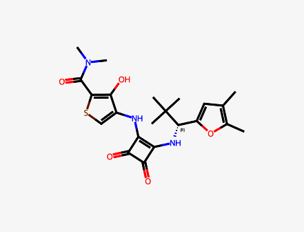 Cc1cc([C@H](Nc2c(Nc3csc(C(=O)N(C)C)c3O)c(=O)c2=O)C(C)(C)C)oc1C